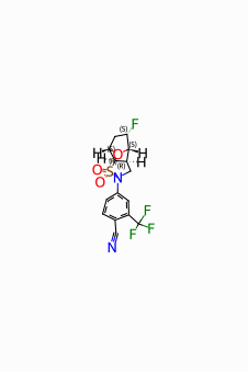 N#Cc1ccc(N2C[C@@H]3[C@@H]4O[C@@H](C[C@@H]4F)[C@@H]3S2(=O)=O)cc1C(F)(F)F